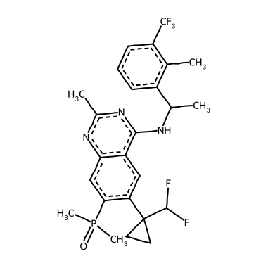 Cc1nc(NC(C)c2cccc(C(F)(F)F)c2C)c2cc(C3(C(F)F)CC3)c(P(C)(C)=O)cc2n1